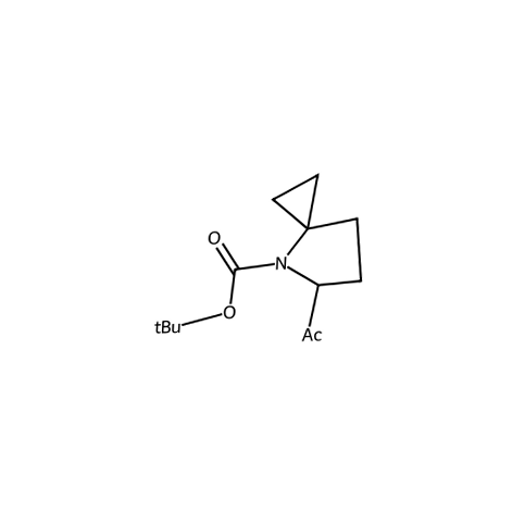 CC(=O)C1CCC2(CC2)N1C(=O)OC(C)(C)C